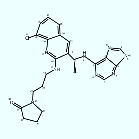 C[C@H](Nc1ncnc2[nH]cnc12)c1cc2cccc(Cl)c2nc1NCCCN1CCCC1=O